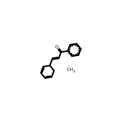 C.O=C(C=CC1C=CC=CC1)c1ccccc1